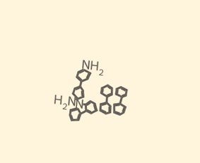 Nc1ccc(C2=CCC(N)(n3c4ccccc4c4ccccc43)C=C2)cc1.c1ccc(-c2ccccc2)cc1.c1ccc(-c2ccccc2)cc1